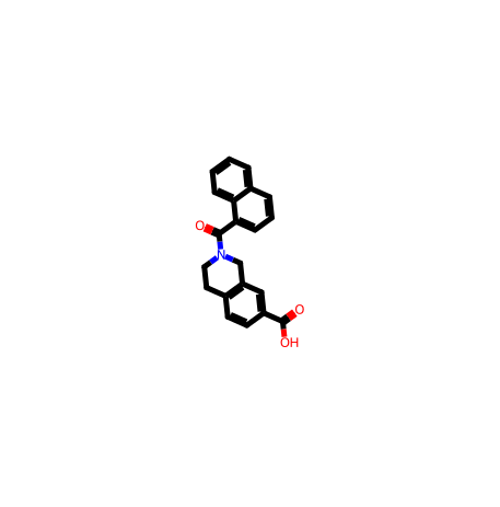 O=C(O)c1ccc2c(c1)CN(C(=O)c1cccc3ccccc13)CC2